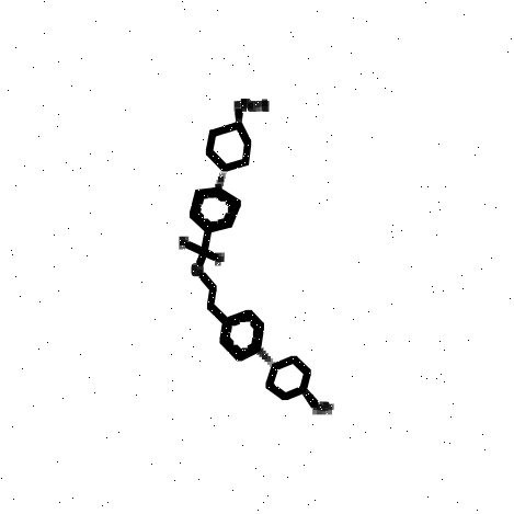 CCCCC[C@H]1CC[C@H](c2ccc(C(F)(F)OCCc3ccc([C@H]4CC[C@H](CCC)CC4)cc3)cc2)CC1